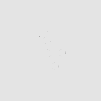 O=C(/C=C/c1ccc(O)c([N+](=O)[O-])c1)N(c1ccccc1)c1ccccc1